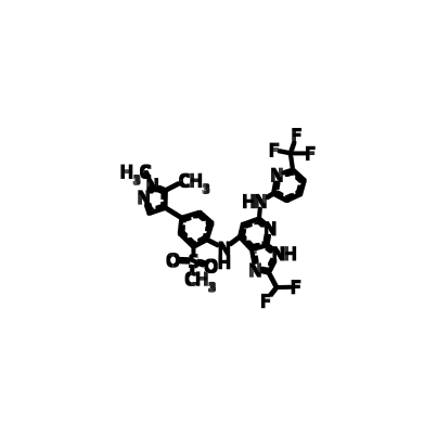 Cc1c(-c2ccc(Nc3cc(Nc4cccc(C(F)(F)F)n4)nc4[nH]c(C(F)F)nc34)c(S(C)(=O)=O)c2)cnn1C